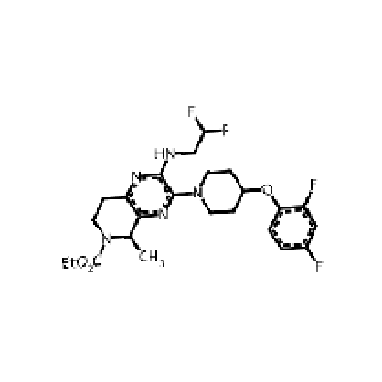 CCOC(=O)N1CCc2nc(NCC(F)F)c(N3CCC(Oc4ccc(F)cc4F)CC3)nc2C1C